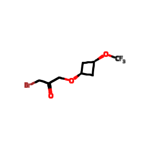 O=C(CBr)CO[C@H]1C[C@@H](OC(F)(F)F)C1